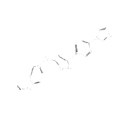 CC(=O)Nc1ccc(Nc2cc(-c3ccc(-n4ccnc4)cc3)[nH]n2)cc1